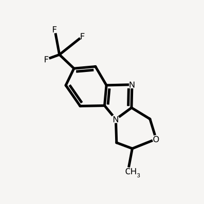 CC1Cn2c(nc3cc(C(F)(F)F)ccc32)CO1